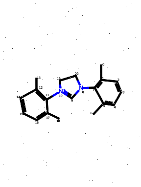 Cc1cccc(C)c1N1C=[N+](c2c(C)cccc2C)CC1